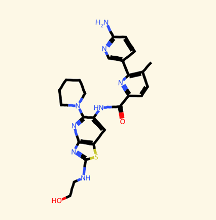 Cc1ccc(C(=O)Nc2cc3sc(NCCO)nc3nc2N2CCCCC2)nc1-c1ccc(N)nc1